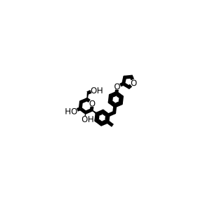 Cc1ccc([C@@H]2O[C@H](CO)CC(O)[C@H]2O)cc1Cc1ccc(OC2CCOC2)cc1